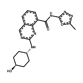 Cc1nnc(NC(=O)c2cccc3cnc(N[C@H]4CC[C@H](O)CC4)nc23)o1